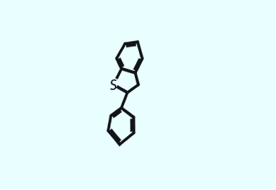 c1ccc(C2Cc3ccccc3S2)cc1